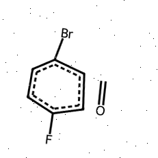 C=O.Fc1ccc(Br)cc1